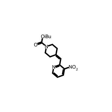 CC(C)COC(=O)N1CCC(=Cc2ncccc2[N+](=O)[O-])CC1